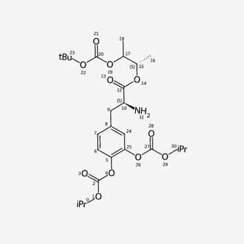 CC(C)OC(=O)Oc1ccc(C[C@H](N)C(=O)O[C@@H](C)C(C)OC(=O)OC(C)(C)C)cc1OC(=O)OC(C)C